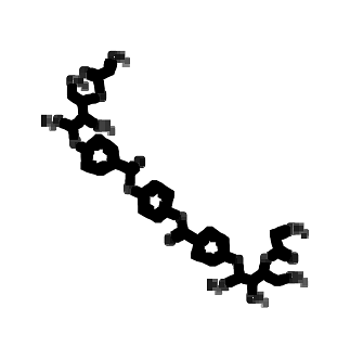 C=CC(=O)OC(CC)C(C)C(C)Oc1ccc(C(=O)Oc2ccc(OC(=O)c3ccc(OC(C)C(C)C(CC)OC(=O)C=C)cc3)cc2)cc1